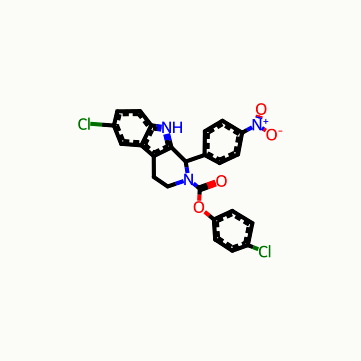 O=C(Oc1ccc(Cl)cc1)N1CCc2c([nH]c3ccc(Cl)cc23)C1c1ccc([N+](=O)[O-])cc1